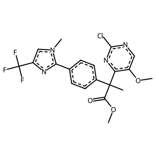 COC(=O)C(C)(c1ccc(-c2nc(C(F)(F)F)cn2C)cc1)c1nc(Cl)ncc1OC